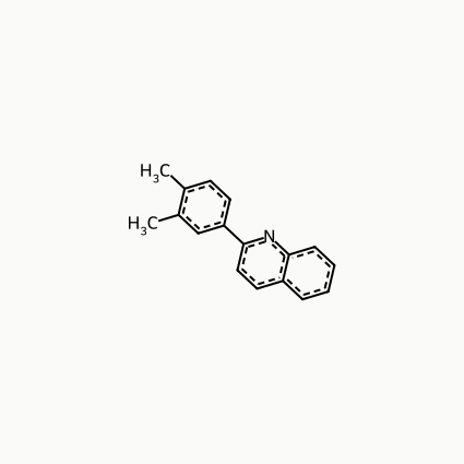 Cc1ccc(-c2ccc3ccccc3n2)cc1C